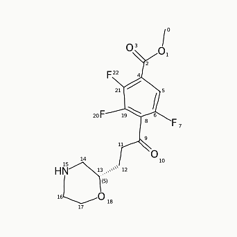 COC(=O)c1cc(F)c(C(=O)CC[C@H]2CNCCO2)c(F)c1F